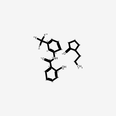 CCCC1CCCC1=O.O=C(Nc1cccc(C(F)(F)F)c1)c1ccccc1O